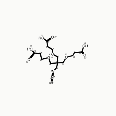 [N-]=[N+]=NCC(COCCC(=O)O)(COCCC(=O)O)COCCC(=O)O